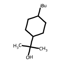 CCC(C)C1CCC(C(C)(C)O)CC1